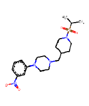 CC(C)S(=O)(=O)N1CCC(CN2CCN(c3cccc([N+](=O)[O-])c3)CC2)CC1